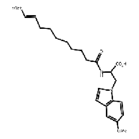 CCCCCCCCC=CCCCCCCCC(=O)NC(Cn1ccc2cc(OC)ccc21)C(=O)O